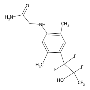 Cc1cc(C(F)(F)C(O)(F)C(F)(F)F)c(C)cc1NCC(N)=O